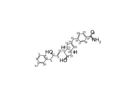 Cc1cccc(C[C@@H](O)/C=C/[C@@H]2[C@H]3CC(Cc4ccc(C(N)=O)cc4)=C[C@H]3C[C@H]2O)c1